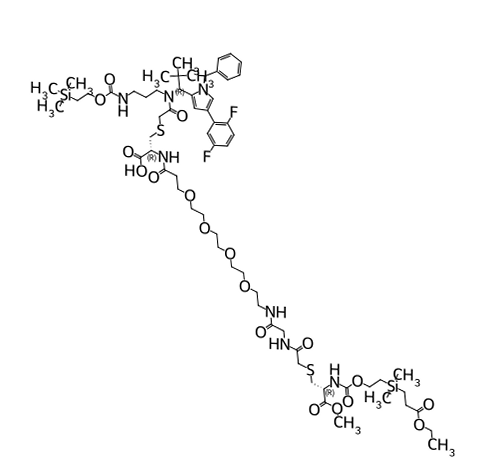 CCOC(=O)CC[Si](C)(C)CCOC(=O)N[C@@H](CSCC(=O)NCC(=O)NCCOCCOCCOCCOCCC(=O)N[C@@H](CSCC(=O)N(CCCNC(=O)OCC[Si](C)(C)C)[C@@H](c1cc(-c2cc(F)ccc2F)cn1Cc1ccccc1)C(C)(C)C)C(=O)O)C(=O)OC